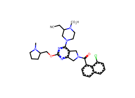 CN1CCCC1COc1nc2c(c(N3CCN(C(=O)O)C(CC#N)C3)n1)CN(C(=O)c1cccc3cccc(Cl)c13)C2